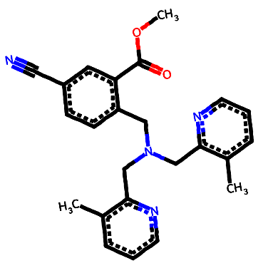 COC(=O)c1cc(C#N)ccc1CN(Cc1ncccc1C)Cc1ncccc1C